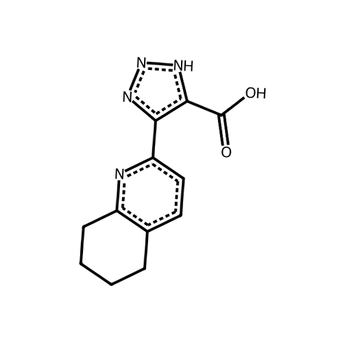 O=C(O)c1[nH]nnc1-c1ccc2c(n1)CCCC2